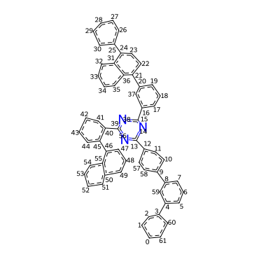 c1ccc(-c2cccc(-c3ccc(-c4nc(-c5cccc(-c6ccc(-c7ccccc7)c7ccccc67)c5)nc(-c5ccccc5-c5cccc6ccccc56)n4)cc3)c2)cc1